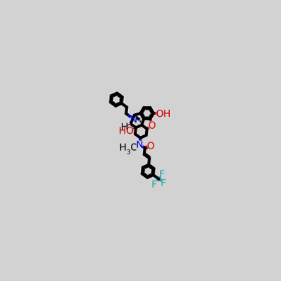 CN(C(=O)/C=C/c1cccc(C(F)(F)F)c1)C1CC2Oc3c(O)ccc4c3[C@@]23CCN(CCc2ccccc2)[C@H](C4)[C@]3(O)C1